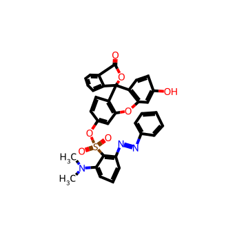 CN(C)c1cccc(N=Nc2ccccc2)c1S(=O)(=O)Oc1ccc2c(c1)Oc1cc(O)ccc1C21OC(=O)c2ccccc21